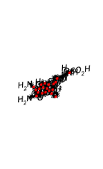 C=C(C(=O)[C@H](CCCCN)NN[C@@H](CCCCN)C(=O)N[C@@H](CCCCN)C(=O)NC(C)C(=O)C(=O)CNC(=O)[C@H](Cc1ccccc1)NNCC(=O)C(=O)[C@@H]1CCCN1NCC(=O)NCC(=O)NCC(=O)O)[C@@H](N)CCSC